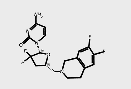 Nc1ccn([C@@H]2O[C@H](CN3CCc4cc(F)c(F)cc4C3)CC2(F)F)c(=O)n1